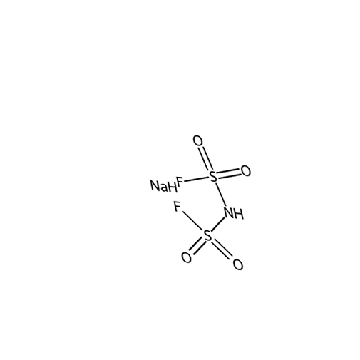 O=S(=O)(F)NS(=O)(=O)F.[NaH]